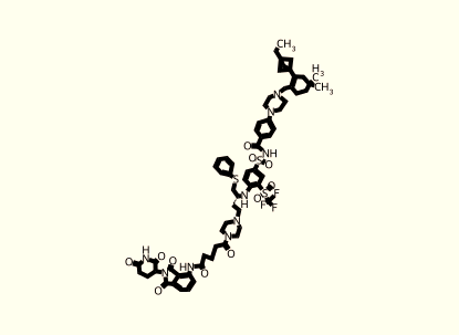 CCC12CC(C3=C(CN4CCN(c5ccc(C(=O)NS(=O)(=O)c6ccc(N[C@H](CCN7CCN(C(=O)CCCC(=O)Nc8cccc9c8C(=O)N(C8CCC(=O)NC8=O)C9=O)CC7)CSc7ccccc7)c(S(=O)(=O)C(F)(F)F)c6)cc5)CC4)CCC(C)(C)C3)(C1)C2